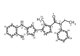 CCN(C(=O)c1cnc(-c2nsc(Nc3ccccc3Br)n2)n1C)c1cccnc1